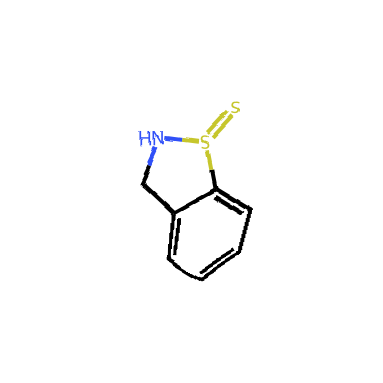 S=S1NCc2ccccc21